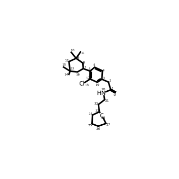 C=C(Cc1ccc(C2CC(C)(C)CC(C)(C)C2)c(Cl)c1)NCCC1CCCCC1